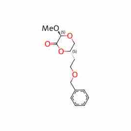 CO[C@H]1OC[C@H](CCOCc2ccccc2)OC1=O